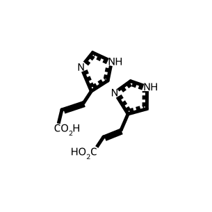 O=C(O)C=Cc1c[nH]cn1.O=C(O)C=Cc1c[nH]cn1